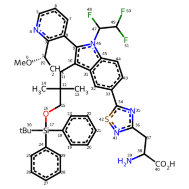 CO[C@@H](C)c1ncccc1-c1c(CC(C)(C)CO[Si](c2ccccc2)(c2ccccc2)C(C)(C)C)c2cc(-c3nc(CC(N)C(=O)O)ns3)ccc2n1C(F)C(F)F